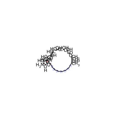 CC1/C=C/C=C/C=C/C=C/C=C/C=C/C=C/C(OC2OC(C)C(O)C(N)C2O)CC2OC(O)(CC(O)CC(O)C(O)CCC(O)CC(O)CC(=O)OC(C)C(C)C1O)CC(O)C2C(=O)O